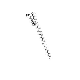 CCCCCCCCCCCCCCCCCCCCCCCCC(=Cc1ccc(O)c(OC)c1)C(=O)O